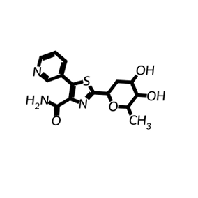 CC1OC(c2nc(C(N)=O)c(-c3cccnc3)s2)CC(O)C1O